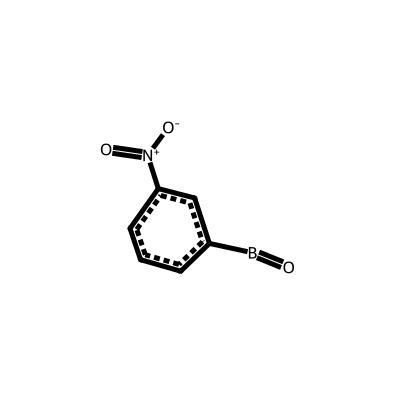 O=Bc1cccc([N+](=O)[O-])c1